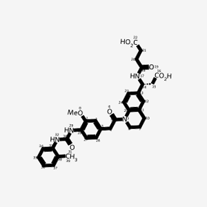 COc1cc(CC(=O)N2CCCc3cc([C@@H](CC(=O)O)NC(=O)CCC(=O)O)ccc32)ccc1NC(=O)Nc1ccccc1C